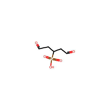 O=CCC(CC=O)S(=O)(=O)O